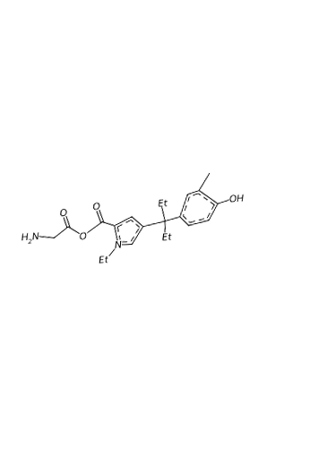 CCn1cc(C(CC)(CC)c2ccc(O)c(C)c2)cc1C(=O)OC(=O)CN